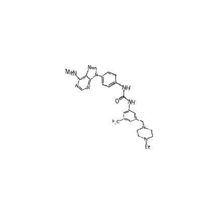 CCN1CCN(Cc2cc(NC(=O)Nc3ccc(-n4cnc5c(NC)ncnc54)cc3)cc(C(F)(F)F)c2)CC1